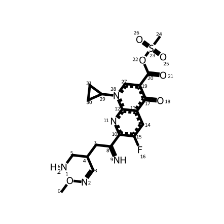 CO/N=C\C(CN)CC(=N)c1nc2c(cc1F)c(=O)c(C(=O)OS(C)(=O)=O)cn2C1CC1